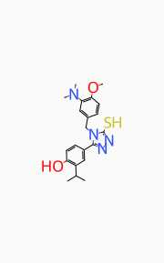 COc1ccc(Cn2c(S)nnc2-c2ccc(O)c(C(C)C)c2)cc1N(C)C